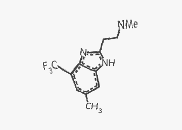 CNCCc1nc2c(C(F)(F)F)cc(C)cc2[nH]1